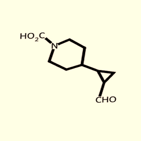 O=CC1CC1C1CCN(C(=O)O)CC1